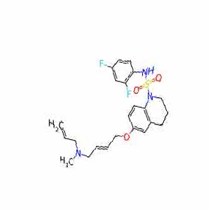 C=CCN(C)CC=CCOc1ccc2c(c1)CCCN2S(=O)(=O)Nc1ccc(F)cc1F